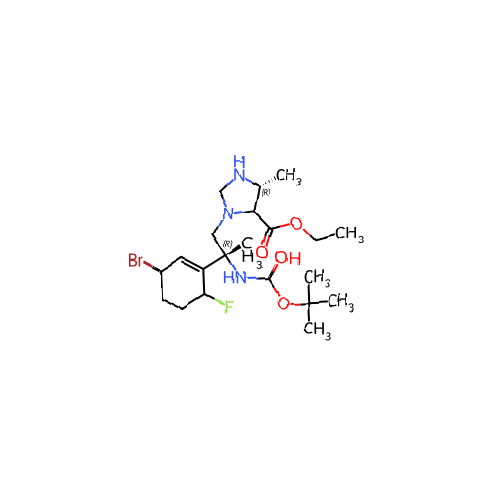 CCOC(=O)C1[C@@H](C)NCN1C[C@](C)(NC(O)OC(C)(C)C)C1=CC(Br)CCC1F